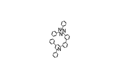 c1ccc(-c2cc(-c3ccccc3)nc(-c3cccc(-c4cccc(-c5nc(-c6ccccc6)nc(-c6ccccc6)n5)c4)c3)c2)cc1